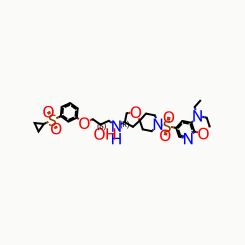 CCN1CCOc2ncc(S(=O)(=O)N3CCC4(CC3)C[C@@H](NC[C@H](O)COc3cccc(S(=O)(=O)C5CC5)c3)CO4)cc21